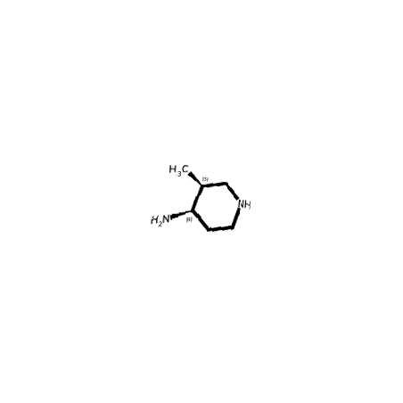 C[C@H]1CNCC[C@H]1N